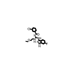 CCOCCN/C(=N/C(=O)c1cccc(Cl)c1)Nc1n[nH]c2cc(F)ccc12